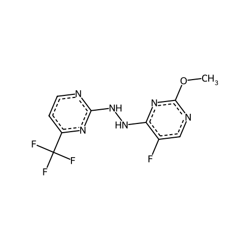 COc1ncc(F)c(NNc2nccc(C(F)(F)F)n2)n1